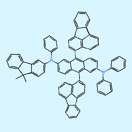 CC1(C)c2ccccc2-c2cc(N(c3ccccc3)c3ccc4c(-c5ccc6c7c(cccc57)-c5ccccc5-6)c5cc(N(c6ccccc6)c6ccccc6)ccc5c(-c5ccc6c7c(cccc57)-c5ccccc5-6)c4c3)ccc21